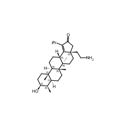 CC(C)C1=C2[C@H]3CC[C@@H]4[C@@]5(C)CC[C@H](O)[C@H](C)[C@@H]5CC[C@@]4(C)[C@]3(C)CC[C@@]2(CCN)CC1=O